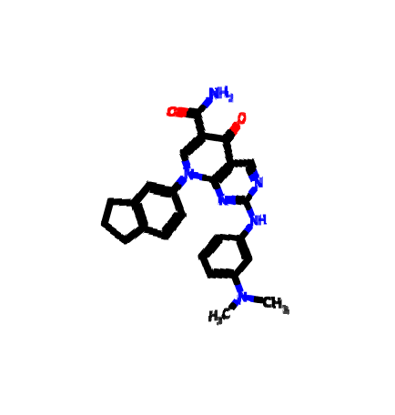 CN(C)c1cccc(Nc2ncc3c(=O)c(C(N)=O)cn(-c4ccc5c(c4)CCC5)c3n2)c1